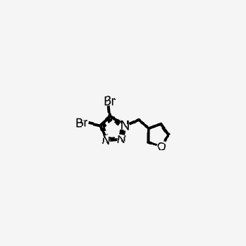 Brc1nnn(CC2CCOC2)c1Br